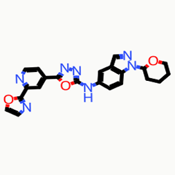 c1cc(-c2nnc(Nc3ccc4c(cnn4C4CCCCO4)c3)o2)cc(-c2ncco2)n1